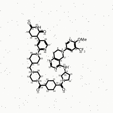 COc1ncc(N2CCc3ncnc(N[C@H]4CCN(C(=O)C5CCC(C(=O)N6CCN(CC7CCN(c8cc(C9CCC(=O)NC9=O)ccn8)CC7)CC6)CC5)C4)c3C2)cc1C(F)(F)F